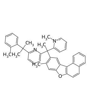 Cc1ccccc1C(C)(C)c1cccc(C(C)(c2cc3c(cc2C)oc2ccc4ccccc4c23)c2cccc[n+]2C)n1